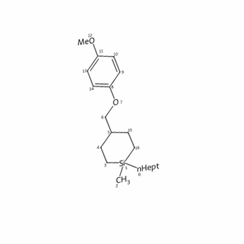 CCCCCCC[Si]1(C)CCC(COc2ccc(OC)cc2)CC1